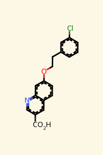 O=C(O)c1cnc2cc(OCCc3cccc(Cl)c3)ccc2c1